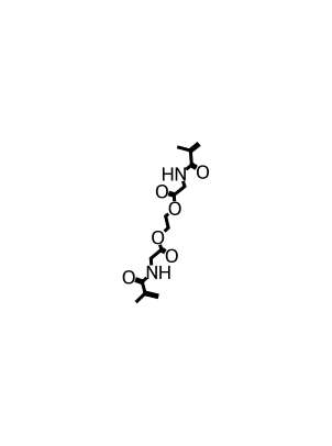 C=C(C)C(=O)NCC(=O)OCCOC(=O)CNC(=O)C(=C)C